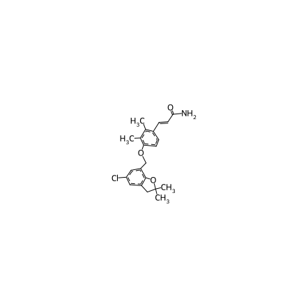 Cc1c(C=CC(N)=O)ccc(OCc2cc(Cl)cc3c2OC(C)(C)C3)c1C